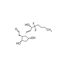 CCCCC(F)(F)[C@H](O)C=C[C@H]1[C@H](CC=O)[C@H](O)C[C@@H]1O